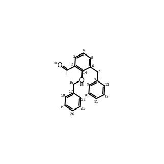 O=Cc1cccc(Cc2ccccc2)c1OCc1ccccc1